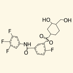 O=C(Nc1cc(F)c(F)c(F)c1)c1ccc(F)c(S(=O)(=O)C2CCC(CO)C(O)C2)c1